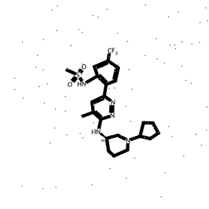 Cc1cc(-c2ccc(C(F)(F)F)cc2NS(C)(=O)=O)nnc1N[C@@H]1CCCN(C2CCCC2)C1